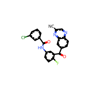 N#Cc1cnc2ccc(C(=O)c3cc(NC(=O)c4cccc(Cl)c4)ccc3F)cc2n1